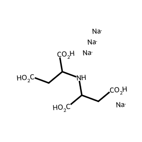 O=C(O)CC(NC(CC(=O)O)C(=O)O)C(=O)O.[Na].[Na].[Na].[Na]